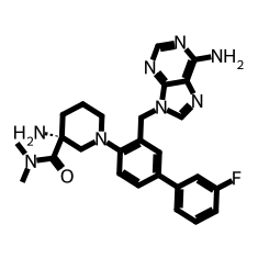 CN(C)C(=O)[C@@]1(N)CCCN(c2ccc(-c3cccc(F)c3)cc2Cn2cnc3c(N)ncnc32)C1